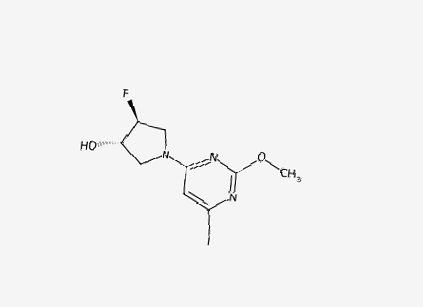 COc1nc(I)cc(N2C[C@H](O)[C@@H](F)C2)n1